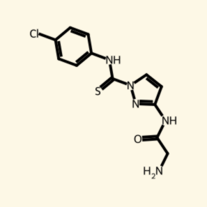 NCC(=O)Nc1ccn(C(=S)Nc2ccc(Cl)cc2)n1